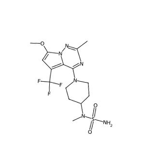 COc1cc(C(F)(F)F)c2c(N3CCC(N(C)S(N)(=O)=O)CC3)nc(C)nn12